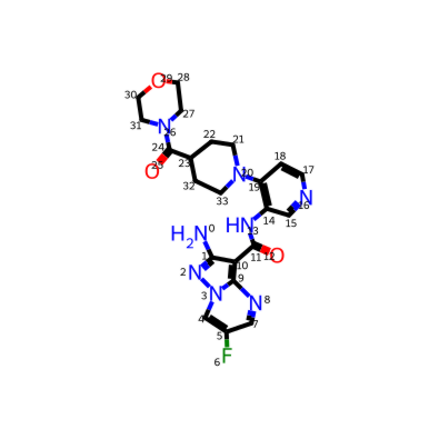 Nc1nn2cc(F)cnc2c1C(=O)Nc1cnccc1N1CCC(C(=O)N2CCOCC2)CC1